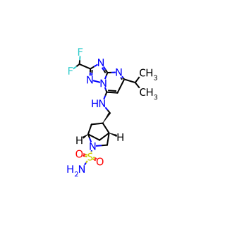 CC(C)c1cc(NC[C@@H]2C[C@@H]3C[C@H]2CN3S(N)(=O)=O)n2nc(C(F)F)nc2n1